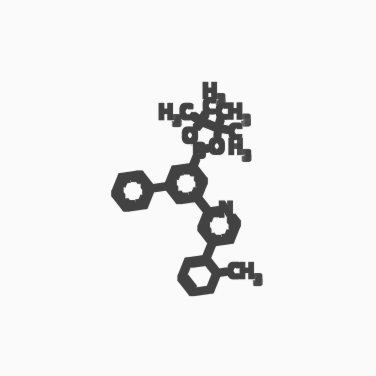 CC1CC=CC=C1c1ccnc(-c2cc(B3OC(C)(C)C(C)(C)O3)cc(-c3ccccc3)c2)c1